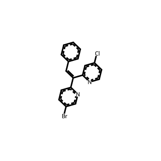 Clc1ccnc(/C(=C\c2ccccc2)c2ccc(Br)cn2)c1